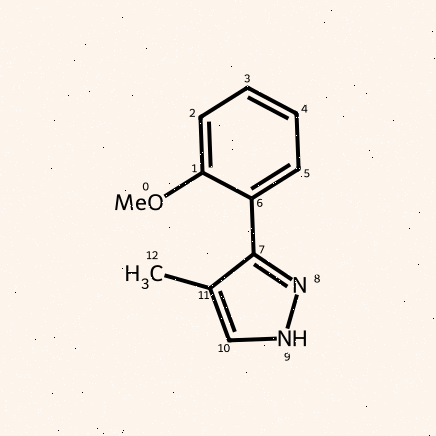 COc1ccccc1-c1n[nH]cc1C